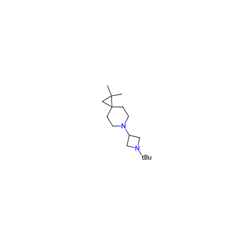 CC(C)(C)N1CC(N2CCC3(CC2)CC3(C)C)C1